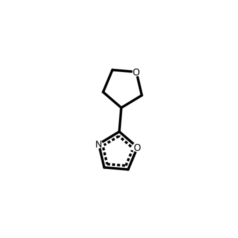 c1coc(C2CCOC2)n1